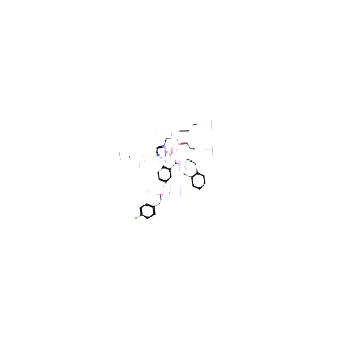 CCCCN(CCCC)C(=O)c1cc(C)n(-c2ccc(NC(=O)Cc3ccc(Cl)cc3)cc2C(=O)N2Cc3ccccc3C[C@H]2CO)n1